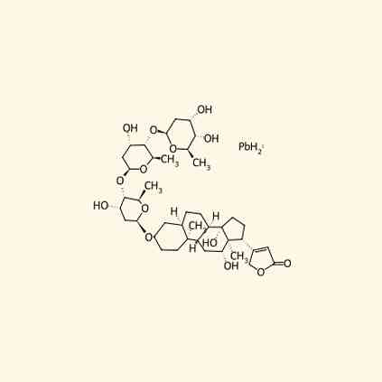 C[C@H]1O[C@@H](O[C@H]2[C@@H](O)C[C@H](O[C@H]3[C@@H](O)C[C@H](O[C@H]4CC[C@@]5(C)[C@H](CC[C@@H]6[C@@H]5C[C@@H](O)[C@]5(C)[C@@H](C7=CC(=O)OC7)CC[C@]65O)C4)O[C@@H]3C)O[C@@H]2C)C[C@H](O)[C@@H]1O.[PbH2]